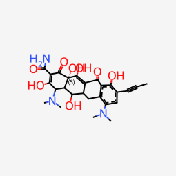 CC#Cc1cc(N(C)C)c2c(c1O)C(=O)C1=C(O)[C@]3(O)C(=O)C(C(N)=O)=C(O)C(N(C)C)C3C(O)C1C2